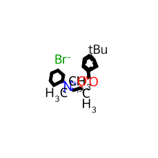 C[C@@H](C[N+](C)(C)C1CCCCC1)OC(=O)c1ccc(C(C)(C)C)cc1.[Br-]